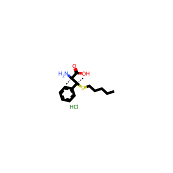 CCCCCS[C@@](C)(c1ccccc1)[C@@](C)(N)C(=O)O.Cl